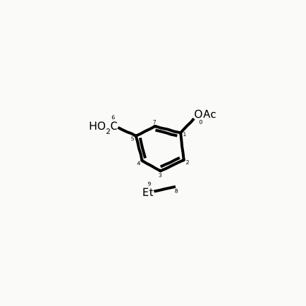 CC(=O)Oc1cccc(C(=O)O)c1.CCC